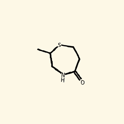 CC1CNC(=O)CCS1